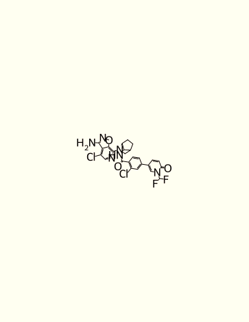 Nc1noc2c(N3CC4CCC3C4NC(=O)c3ccc(-c4ccc(=O)n(C(F)F)c4)cc3Cl)ncc(Cl)c12